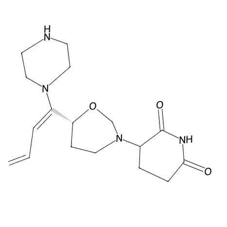 C=C/C=C(\[C@H]1CCN(C2CCC(=O)NC2=O)CO1)N1CCNCC1